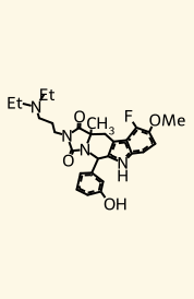 CCN(CC)CCCN1C(=O)N2C(c3cccc(O)c3)c3[nH]c4ccc(OC)c(F)c4c3CC2(C)C1=O